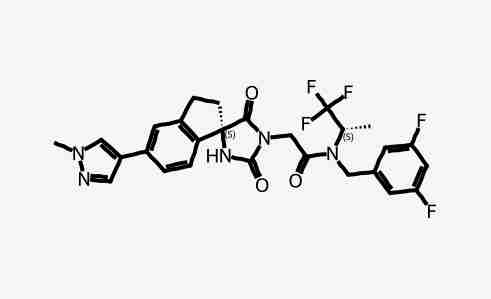 C[C@H](N(Cc1cc(F)cc(F)c1)C(=O)CN1C(=O)N[C@]2(CCc3cc(-c4cnn(C)c4)ccc32)C1=O)C(F)(F)F